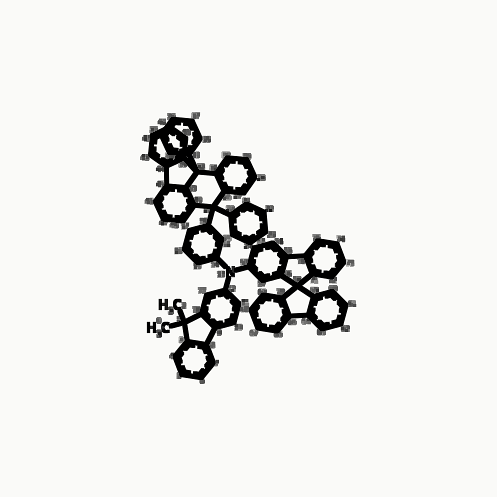 CC1(C)c2ccccc2-c2ccc(N(c3cccc(C4(c5ccccc5)c5ccccc5C5(c6ccccc6)c6ccccc6-c6cccc4c65)c3)c3ccc4c(c3)C3(c5ccccc5-c5ccccc53)c3ccccc3-4)cc21